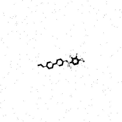 CCC[C@H]1CC[C@H]([C@H]2CC[C@H](C[SiH2]c3ccc(OC)c(F)c3F)CC2)CC1